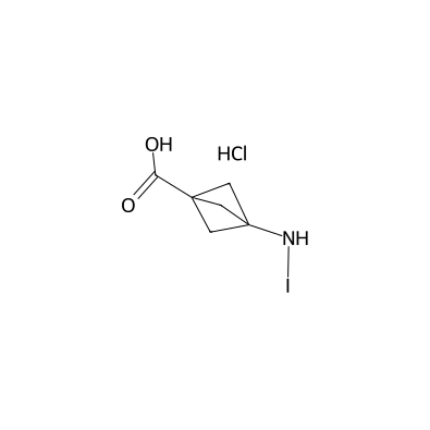 Cl.O=C(O)C12CC(NI)(C1)C2